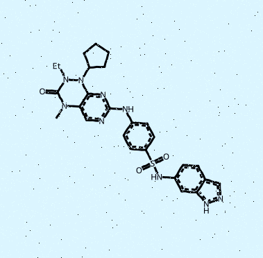 CCN1C(=O)N(C)c2cnc(Nc3ccc(S(=O)(=O)Nc4ccc5cn[nH]c5c4)cc3)nc2N1C1CCCC1